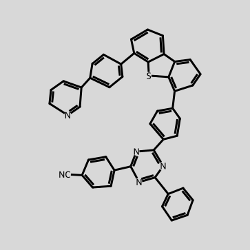 N#Cc1ccc(-c2nc(-c3ccccc3)nc(-c3ccc(-c4cccc5c4sc4c(-c6ccc(-c7cccnc7)cc6)cccc45)cc3)n2)cc1